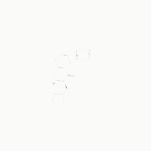 C[C@@]1(c2ccc(OC(F)(F)F)cc2)CNCCN1C(=O)[C@@H](CC1CCCC1)[C@H](O)C(=O)O